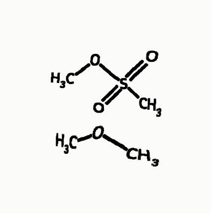 COC.COS(C)(=O)=O